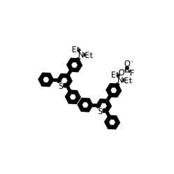 CCN(CC)c1ccc(-c2cc(-c3ccccc3)[s+]c(-c3ccccc3)c2)cc1.CCN(CC)c1ccc(-c2cc(-c3ccccc3)[s+]c(-c3ccccc3)c2)cc1.[O-]B([O-])F